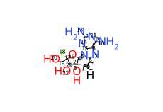 C#C[C@]1(O)[C@H](n2cnc3c(N)nc(N)nc32)O[C@](F)(CO)[C@H]1O